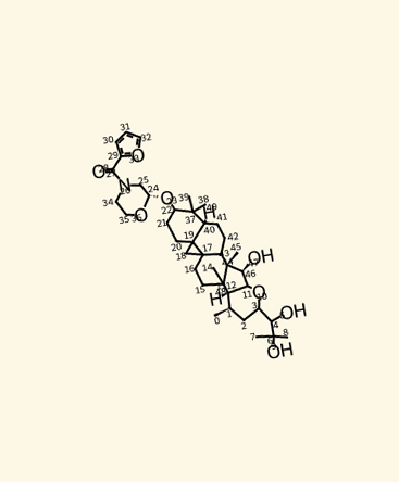 C[C@@H]1CC(C(O)C(C)(C)O)OC2[C@H]1C1(C)CCC34CC35CCC(O[C@H]3CN(C(=O)c6ccco6)CCO3)C(C)(C)[C@@H]5CCC4[C@]1(C)[C@H]2O